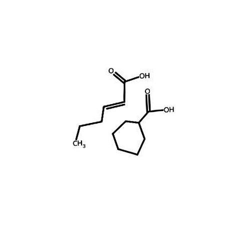 CCCC=CC(=O)O.O=C(O)C1CCCCC1